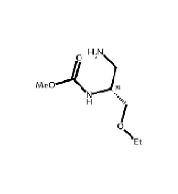 CCOC[C@@H](CN)NC(=O)OC